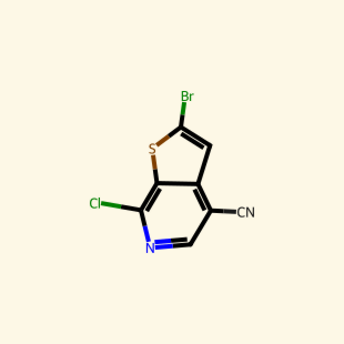 N#Cc1cnc(Cl)c2sc(Br)cc12